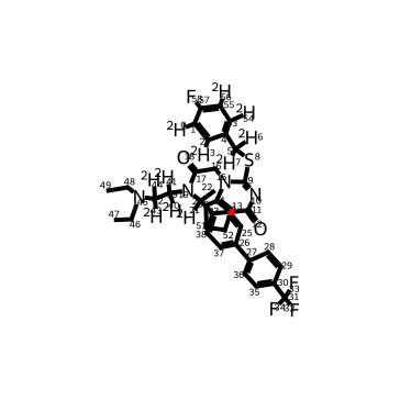 [2H]c1c([2H])c(C([2H])([2H])Sc2nc(=O)c3c(n2CC(=O)N(C([2H])(C)c2ccc(-c4ccc(C(F)(F)F)cc4)cc2)C([2H])([2H])C([2H])([2H])N(CC)CC)CCC3)c([2H])c([2H])c1F